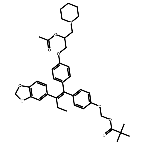 CC/C(=C(\c1ccc(OCOC(=O)C(C)(C)C)cc1)c1ccc(OCC(CN2CCCCC2)OC(C)=O)cc1)c1ccc2c(c1)OCO2